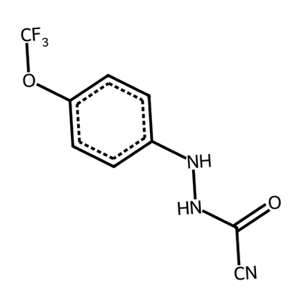 N#CC(=O)NNc1ccc(OC(F)(F)F)cc1